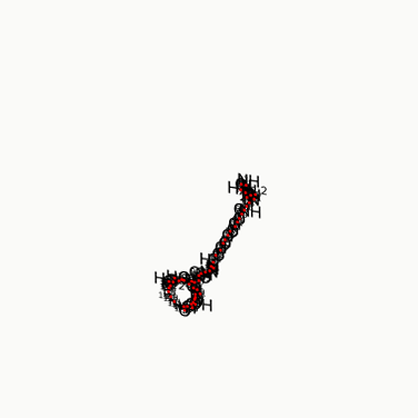 CO[C@H]1C[C@@H]2CC[C@@H](C)[C@@](O)(O2)C(=O)C(=O)N2CCCC[C@H]2C(=O)O[C@H]([C@H](N)C[C@@H]2CC[C@@H](OC(=O)NCc3cn(CCOCCOCCOCCOCCOCCOCCOCCOCCC(=O)NCCCCn4nc(-c5ccc6oc(N)nc6c5)c5c(N)ncnc54)nn3)[C@H](O)C2)CC(=O)[C@H](C)/C=C(\C)[C@@H](O)[C@@H](OC)C(=O)[C@H](C)C[C@H](C)/C=C/C=C/C=C/1C